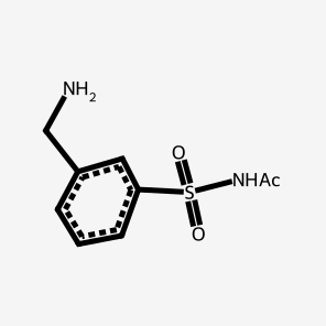 CC(=O)NS(=O)(=O)c1cccc(CN)c1